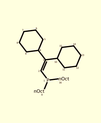 CCCCCCCCP(C=C(C1CCCCC1)C1CCCCC1)CCCCCCCC